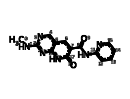 CNc1ncc2cc(C(=O)Nc3ccccn3)c(=O)[nH]c2n1